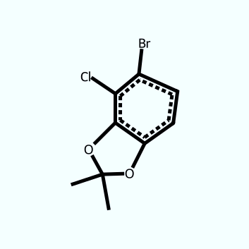 CC1(C)Oc2ccc(Br)c(Cl)c2O1